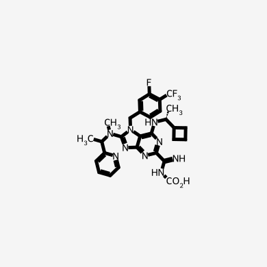 CC(c1ccccn1)N(C)c1nc2nc(C(=N)NC(=O)O)nc(N[C@H](C)C3CCC3)c2n1Cc1ccc(C(F)(F)F)c(F)c1